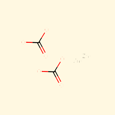 O=C([O-])[O-].O=C([O-])[O-].[Zn+2].[Zn+2]